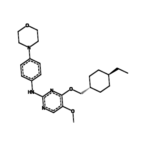 CC[C@H]1CC[C@H](COc2nc(Nc3ccc(N4CCOCC4)cc3)ncc2OC)CC1